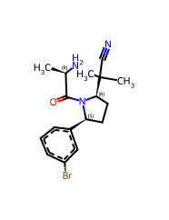 C[C@@H](N)C(=O)N1[C@H](c2cccc(Br)c2)CC[C@@H]1C(C)(C)C#N